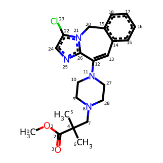 COC(=O)C(C)(C)CN1CCN(C2=Cc3ccccc3Cn3c(Cl)cnc32)CC1